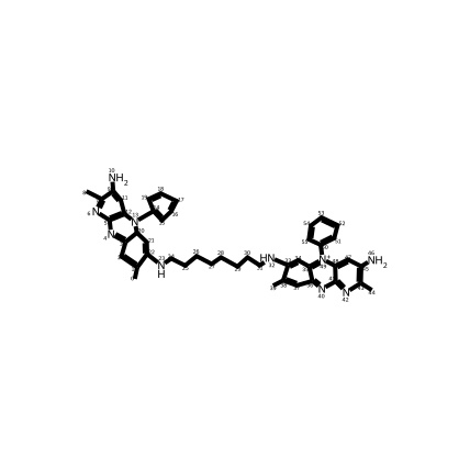 CC1=CC2=Nc3nc(C)c(N)cc3N(c3ccccc3)C2C=C1NCCCCCCCCNc1cc2c(cc1C)nc1nc(C)c(N)cc1[n+]2-c1ccccc1